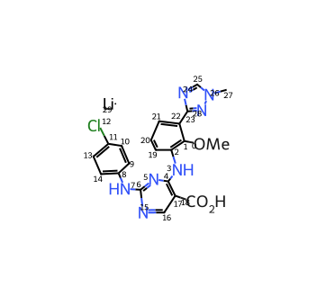 COc1c(Nc2nc(Nc3ccc(Cl)cc3)ncc2C(=O)O)cccc1-c1ncn(C)n1.[Li]